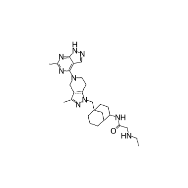 CCNCC(=O)NC1CCC2(Cn3nc(C)c4c3CCN(c3nc(C)nc5[nH]ncc35)C4)CCCC1C2